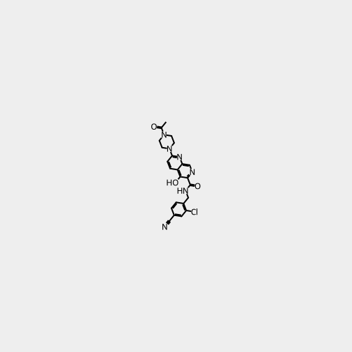 CC(=O)N1CCN(c2ccc3c(O)c(C(=O)NCc4ccc(C#N)cc4Cl)ncc3n2)CC1